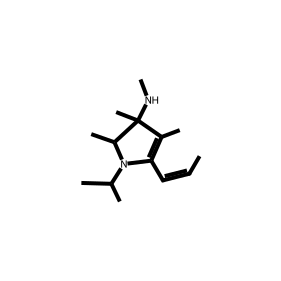 C/C=C\C1=C(C)C(C)(NC)C(C)N1C(C)C